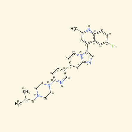 Cc1cc(-c2cnc3cc(-c4ccc(N5CCN(CC(C)C)CC5)nc4)ccn23)c2cc(F)ccc2n1